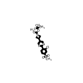 CC(C)(C)OC(=O)N1CC(c2cnc(-c3ccc(S(C)(=O)=O)cc3Cl)nc2)C1